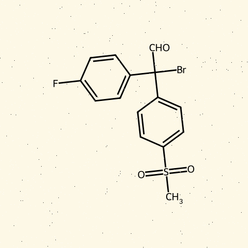 CS(=O)(=O)c1ccc(C(Br)(C=O)c2ccc(F)cc2)cc1